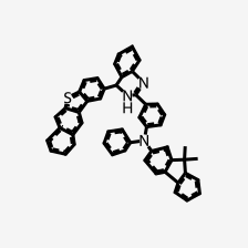 CC1(C)c2ccccc2-c2ccc(N(c3ccccc3)c3cccc(C4=Nc5ccccc5C(c5ccc6sc7cc8ccccc8cc7c6c5)N4)c3)cc21